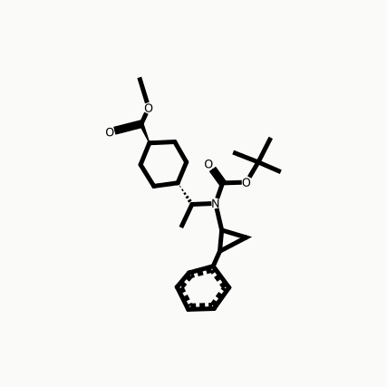 COC(=O)[C@H]1CC[C@H](C(C)N(C(=O)OC(C)(C)C)C2CC2c2ccccc2)CC1